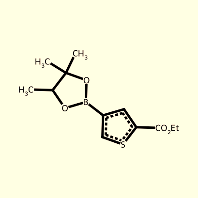 CCOC(=O)c1cc(B2OC(C)C(C)(C)O2)cs1